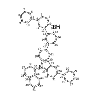 B1c2ccc(-c3ccccc3)cc2-c2cc(-c3ccc4c(c3)c3cc(-c5ccccc5)ccc3n4-c3cccc4ccccc34)ccc21